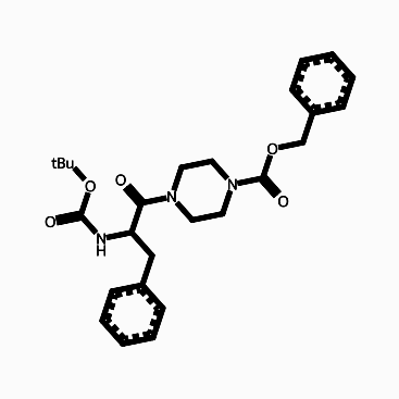 CC(C)(C)OC(=O)NC(Cc1ccccc1)C(=O)N1CCN(C(=O)OCc2ccccc2)CC1